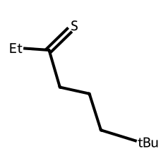 CCC(=S)CCCC(C)(C)C